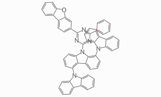 c1ccc(-c2nc(-c3ccc4c(c3)oc3ccccc34)nc(-n3c4cccc(-n5c6ccccc6c6ccccc65)c4c4cccc(-n5c6ccccc6c6ccccc65)c43)n2)cc1